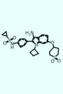 Nc1c(-c2ccc(NS(=O)(=O)C3CC3)cc2)n(C2CCC2)c2cc(OC3CCS(=O)(=O)CC3)ccc12